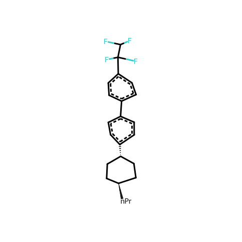 CCC[C@H]1CC[C@H](c2ccc(-c3ccc(C(F)(F)C(F)F)cc3)cc2)CC1